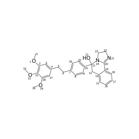 COc1cc(CCc2ccc(C3(O)Cc4ccccc4C4=NCCN43)cc2)cc(OC)c1OC